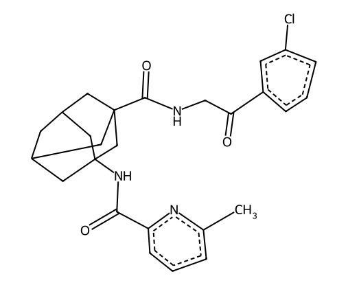 Cc1cccc(C(=O)NC23CC4CC(C2)CC(C(=O)NCC(=O)c2cccc(Cl)c2)(C4)C3)n1